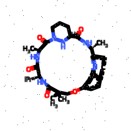 CC(C)[C@@H]1NC(=O)C(C)(C)COc2ccc3ccc(nc3c2)[C@@H](C)NC(=O)[C@@H]2CCCN(N2)C(=O)[C@H](C)NC1=O